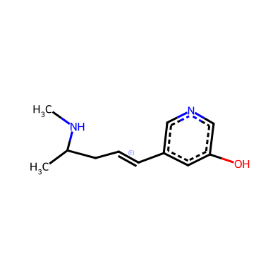 CNC(C)C/C=C/c1cncc(O)c1